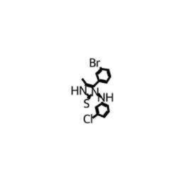 Cc1[nH]c(=S)n(Nc2cccc(Cl)c2)c1-c1cccc(Br)c1